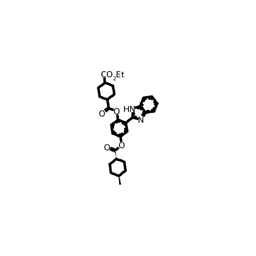 CCOC(=O)C1CCC(C(=O)Oc2ccc(OC(=O)[C@H]3CC[C@H](C)CC3)cc2-c2nc3ccccc3[nH]2)CC1